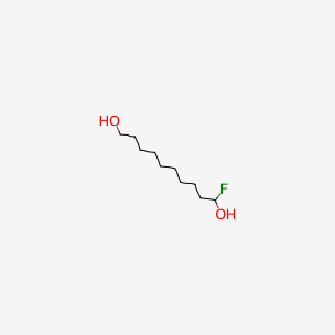 OCCCCCCCCCC(O)F